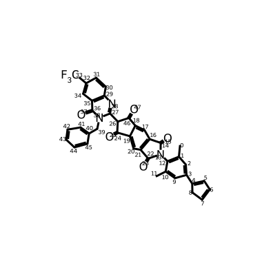 Cc1cc(C2=CC=CC2)cc(C)c1N1C(=O)c2cc3c(cc2C1=O)C(=O)C(c1nc2ccc(C(F)(F)F)cc2c(=O)n1Cc1ccccc1)C3=O